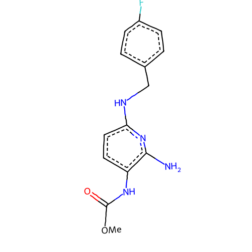 COC(=O)Nc1ccc(NCc2ccc(F)cc2)nc1N